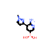 Cn1ccc(-c2cc(B(O)O)cnc2N)n1